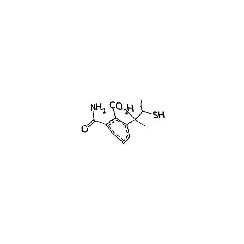 CC(S)C(C)(C)c1cccc(C(N)=O)c1C(=O)O